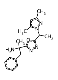 Cc1cc(C)n(C(C)c2nnc([C@](C)(N)Cc3ccccc3)o2)n1